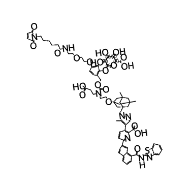 Cc1c(-c2ccc(-c3ccc4cccc(C(=O)Nc5nc6ccccc6s5)c4c3)nc2C(=O)O)cnn1CC12CC3(C)CC(C)(C1)CC(OCCN(CCC(=O)O)C(=O)OCc1ccc(OCCOCCNC(=O)CCCCCN4C(=O)C=CC4=O)cc1O[C@H]1O[C@@H](C(=O)O)[C@H](O)[C@@H](O)[C@@H]1O)(C3)C2